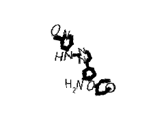 Nc1cc(-c2ccnc(Nc3ccnc(C=O)c3)n2)ccc1OC1CCOCC1